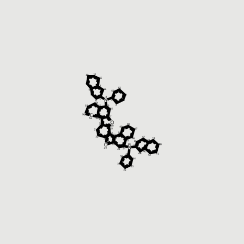 c1ccc(N(c2ccc3ccccc3c2)c2cc3oc4c(ccc5oc6cc(N(c7ccccc7)c7ccc8ccccc8c7)c7ccccc7c6c54)c3c3ccccc23)cc1